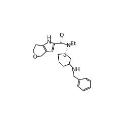 CCN(C(=O)c1cc2c([nH]1)CCOC2)[C@H]1CCCC(NCc2ccccc2)C1